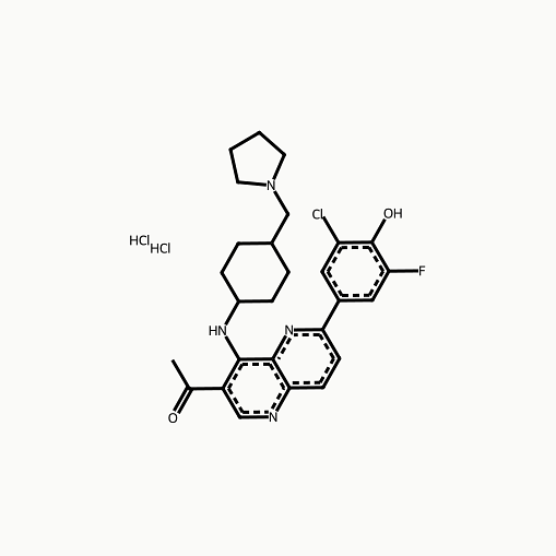 CC(=O)c1cnc2ccc(-c3cc(F)c(O)c(Cl)c3)nc2c1NC1CCC(CN2CCCC2)CC1.Cl.Cl